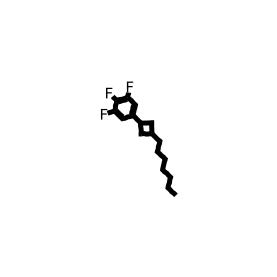 CCCCCCCC1CC(c2cc(F)c(F)c(F)c2)C1